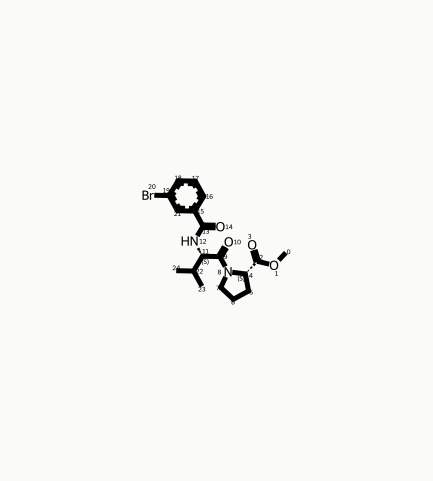 COC(=O)[C@@H]1CCCN1C(=O)[C@@H](NC(=O)c1cccc(Br)c1)C(C)C